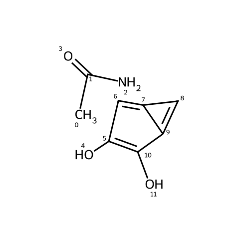 CC(N)=O.Oc1cc2cc-2c1O